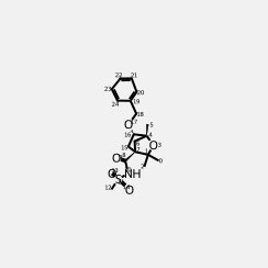 CC1(C)O[C@]2(C)C[C@@]1(C(=O)NS(C)(=O)=O)C[C@@H]2OCc1ccccc1